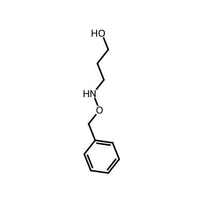 OCCCNOCc1ccccc1